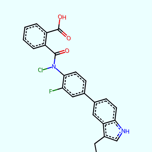 CCc1c[nH]c2ccc(-c3ccc(N(Cl)C(=O)c4ccccc4C(=O)O)c(F)c3)cc12